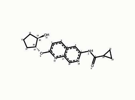 O=C(Nc1cc2ccc(O[C@@H]3CCC[C@H]3O)nc2cn1)C1CC1